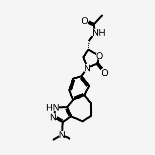 CC(=O)NC[C@H]1CN(c2ccc3c(c2)CCCc2c(N(C)C)n[nH]c2-3)C(=O)O1